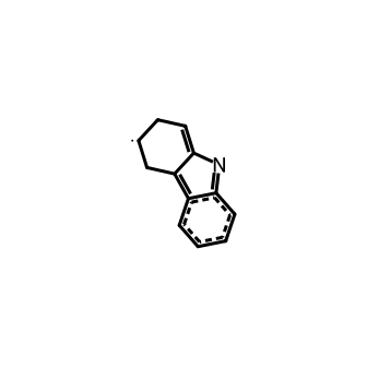 [CH]1CC=C2N=c3ccccc3=C2C1